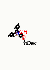 CCCCCCCCCCCCCOc1ccc(N2C=C(c3ccc(C)cc3C)C=C(c3ccc(C)cc3C)S2)c(O)c1